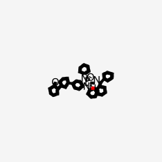 O=P1(c2nc(-c3ccccc3)c3ccccc3n2)N(c2ccccc2)c2ccc(-c3ccc4oc5ccccc5c4c3)cc2N1c1ccccc1